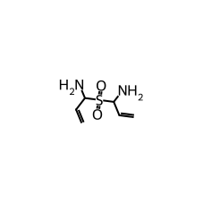 C=CC(N)S(=O)(=O)C(N)C=C